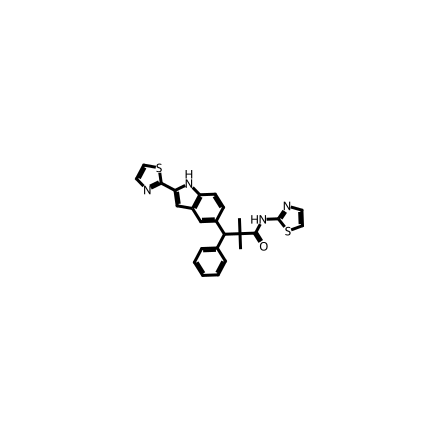 CC(C)(C(=O)Nc1nccs1)C(c1ccccc1)c1ccc2[nH]c(-c3nccs3)cc2c1